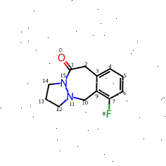 O=C1Cc2cccc(F)c2CN2CCCN12